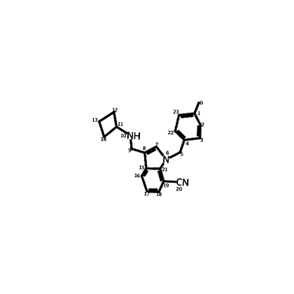 Cc1ccc(Cn2cc(CNC3CCC3)c3cccc(C#N)c32)cc1